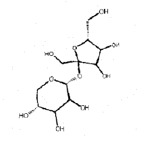 OC[C@H]1O[C@@](CO)(O[C@H]2OC[C@@H](O)C(O)C2O)C(O)C1O